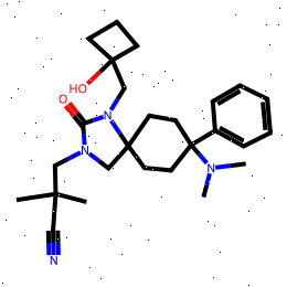 CN(C)C1(c2ccccc2)CCC2(CC1)CN(CC(C)(C)C#N)C(=O)N2CC1(O)CCC1